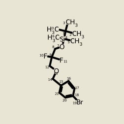 CC(C)(C)[Si](C)(C)OCC(F)(F)COCc1ccc(Br)cc1